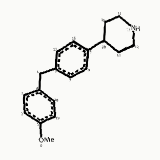 COc1ccc(Cc2ccc(C3CCNCC3)cc2)cc1